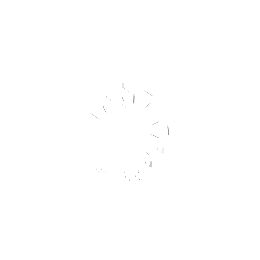 CSc1nnc(NC(=O)Nc2ccc(Oc3ccc4[nH]c(N(C=O)c5ccco5)nc4c3)cc2)s1